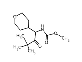 COC(=O)NC(C(=O)C(C)(C)C)C1CCOCC1